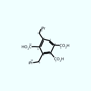 CC(C)Cc1cc(C(=O)O)c(C(=O)O)c(CC(C)C)c1C(=O)O